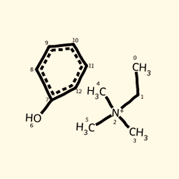 CC[N+](C)(C)C.Oc1ccccc1